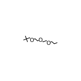 CCCOCCOCCOCC(C)(C)C